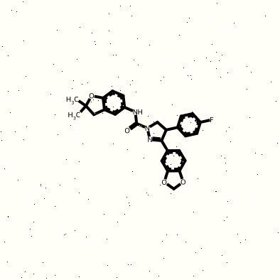 CC1(C)Cc2cc(NC(=O)N3CC(c4ccc(F)cc4)C(c4ccc5c(c4)OCO5)=N3)ccc2O1